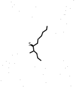 CCCCCCC(=S)C(C)CCC